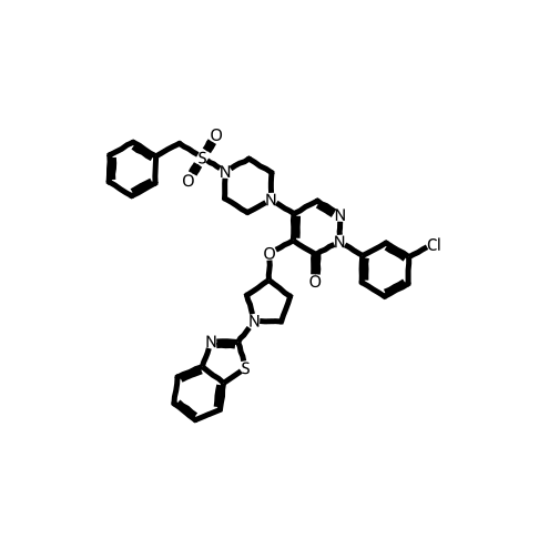 O=c1c(OC2CCN(c3nc4ccccc4s3)C2)c(N2CCN(S(=O)(=O)Cc3ccccc3)CC2)cnn1-c1cccc(Cl)c1